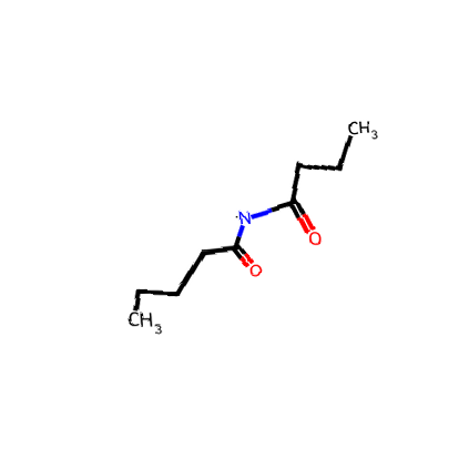 CCCCC(=O)[N]C(=O)CCC